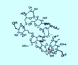 CC(=O)NC1C(O)[C@H](O[C@@H]2OC3CC(O)(O)[C@@H]3[C@H](O[C@]3(OC=O)C[C@@H](O)[C@@H](C)C([C@H](O)[C@H](O)CO)O3)C2O)[C@H](CO)O[C@H]1OCCC1[C@@H](OCC2O[C@@H](O[C@@H]3C(CO)O[C@@H](O[C@@H]4C(CO)O[C@@H](C)C(NC(C)=O)[C@H]4O)C(NC(C)=O)[C@H]3O)C(O)[C@@H](O)[C@@H]2O)OC(CO)[C@@H](O)[C@@H]1O